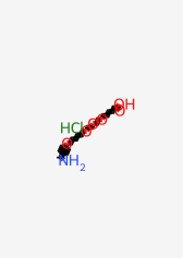 C[C@H](N)c1ccc(OCCCCCCOCCOCCOCCCCCC(=O)O)cc1.Cl